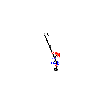 CCCCCCCCCCCCCCCCOCCCC(CCP(=O)(O)O)NCc1c[nH]c2c(OCc3ccccc3)ncnc12